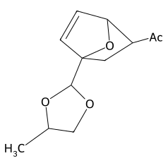 CC(=O)C1CC2(C3OCC(C)O3)C=CC1O2